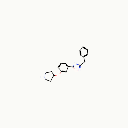 c1ccc(Cc2noc(-c3cccc(OC4CCNCC4)c3)n2)cc1